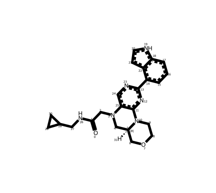 O=C(CN1C[C@@H]2COCCN2c2nc(-c3cccc4[nH]ccc34)ncc21)NCC1CC1